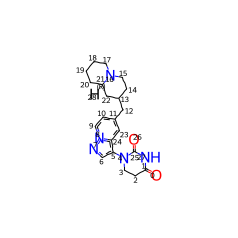 O=C1CCN(c2cnn3ccc(CC4CCN5CCCC[C@@H]5C4)cc23)C(=O)N1